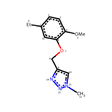 CCc1ccc(OC)c(OCc2cn(C)nn2)c1